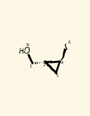 OC[C@H]1C[C@@H]1I